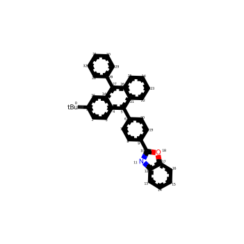 CC(C)(C)c1ccc2c(-c3ccc(-c4nc5ccccc5o4)cc3)c3ccccc3c(-c3ccccc3)c2c1